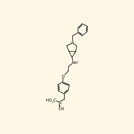 N#C[C@H](Cc1ccc(OCCNC2C3CN(Cc4ccccc4)CC32)cc1)C(=O)O